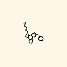 C[Si](C)(C)CCOCn1ncc2c(=O)n(CC(F)(F)F)c3cc(Oc4cccnc4)ccc3c21